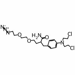 [N-]=[N+]=NCCOCCOCCC(Cc1ccc(N(CCCl)CCCl)cc1)C(N)=O